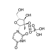 O=P(O)(O)O.O=c1ccn([C@@H]2O[C@H](CO)[C@@H](O)[C@]2(O)F)c(=O)[nH]1